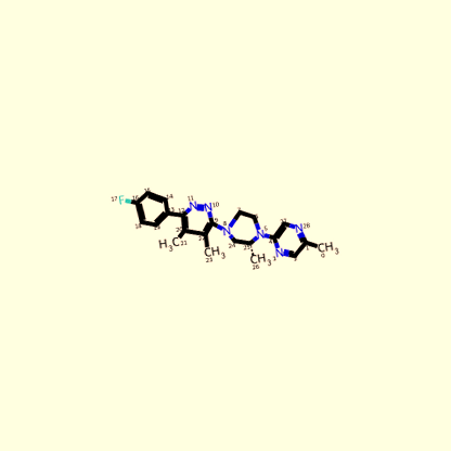 Cc1cnc(N2CCN(c3nnc(-c4ccc(F)cc4)c(C)c3C)C[C@H]2C)cn1